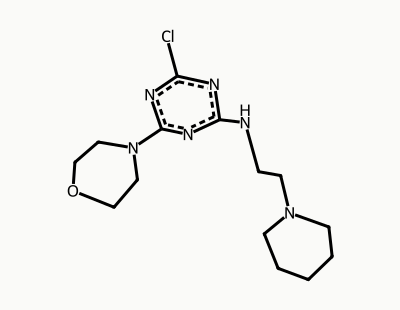 Clc1nc(NCCN2CCCCC2)nc(N2CCOCC2)n1